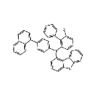 c1ccc2c(-c3ccc(N(c4cccc5oc6ccccc6c45)c4cccc5oc6ccccc6c45)cc3)cccc2c1